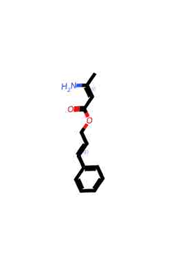 C/C(N)=C/C(=O)OC/C=C/c1ccccc1